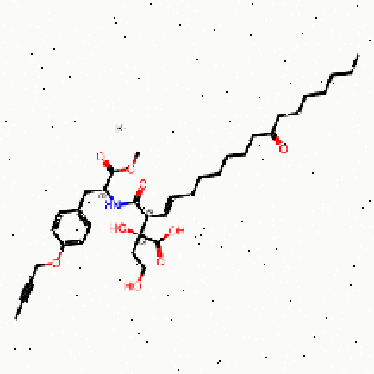 CC#CCOc1ccc(C[C@H](NC(=O)[C@@H](C=CCCCCCCC(=O)CCCCCCC)[C@@](O)(CCO)C(=O)O)C(=O)OC)cc1.[K]